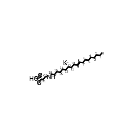 CCCCCCCCC=CCCCCCCCCCNCCS(=O)(=O)O.[K]